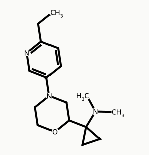 CCc1ccc(N2CCOC(C3(N(C)C)CC3)C2)cn1